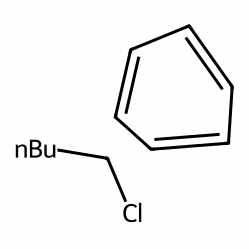 CCCCCCl.c1ccccc1